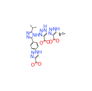 CC(C)c1nnc(-c2ccccc2)[nH]1.O=C([O-])c1c[nH]nn1.O=C([O-])c1c[nH]nn1.O=C([O-])c1c[nH]nn1.[Ir+3]